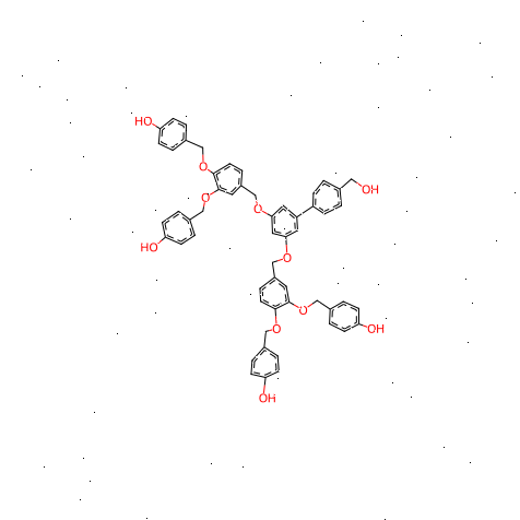 OCc1ccc(-c2cc(OCc3ccc(OCc4ccc(O)cc4)c(OCc4ccc(O)cc4)c3)cc(OCc3ccc(OCc4ccc(O)cc4)c(OCc4ccc(O)cc4)c3)c2)cc1